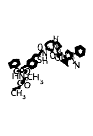 CCCOC(=O)[C@H](C)NP(=O)(Cc1ccc2sc(C(=O)N[C@H]3CCC[C@H]4CC[C@@H](C(=O)N5C[C@@H](c6ccccc6)[C@H](C#N)C56CC6)N4C3=O)cc2c1)Oc1ccccc1